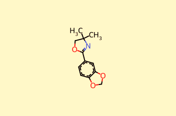 CC1(C)COC(c2ccc3c(c2)OCO3)=N1